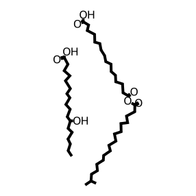 CC(C)CCCCCCCCCCCCCCC(=O)OC(=O)CCCCCCCCCCCCCCC(=O)O.CCCCCCC(O)CCCCCCCCCCC(=O)O